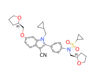 N#Cc1c(-c2ccc(N(C[C@H]3CCCO3)S(=O)(=O)C3CC3)cc2)n(CC2CC2)c2cc(OC[C@H]3CCCO3)ccc12